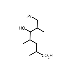 CC(C)CC(C)C(O)C(C)CC(C)C(=O)O